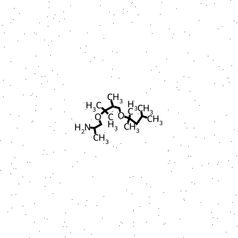 CC(C)CC(C)(C)OCC(C)C(C)(C)OCC(C)N